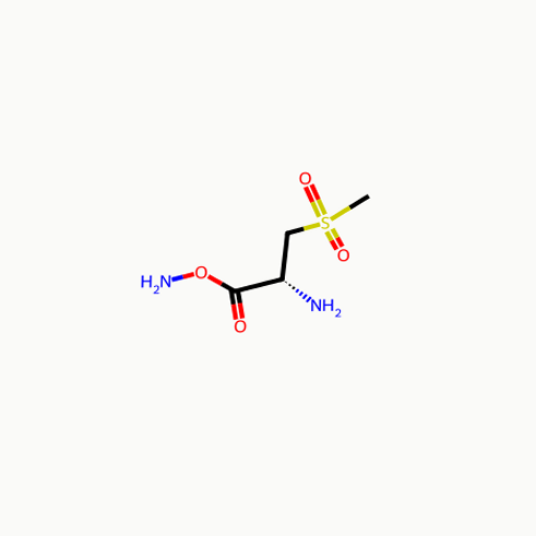 CS(=O)(=O)C[C@H](N)C(=O)ON